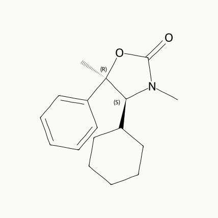 CN1C(=O)O[C@](C)(c2ccccc2)[C@@H]1C1CCCCC1